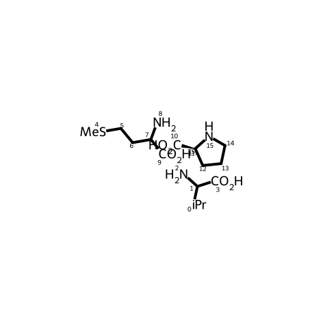 CC(C)C(N)C(=O)O.CSCCC(N)C(=O)O.O=C(O)[C@@H]1CCCN1